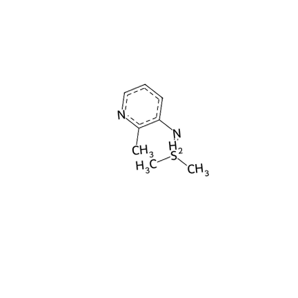 Cc1ncccc1N=[SH2](C)C